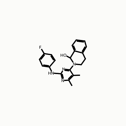 Cc1nc(Nc2ccc(F)cc2)nc(N2CCc3ccccc3C2O)c1C